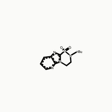 CCCCN1CCn2c(nc3cccnc32)S1(=O)=O